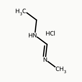 CCNC=NC.Cl